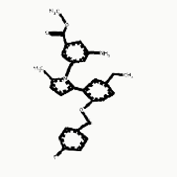 CCc1ccc(OCc2ccc(F)cc2)c(-c2ccc(C)n2-c2cc(N)cc(C(=O)OC)c2)c1